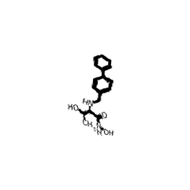 C[C@@H](O)[C@@H](NCc1ccc(-c2ccccc2)cc1)C(=O)NO